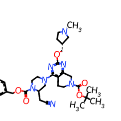 CN1CC[C@@H](COc2nc3c(c(N4CCN(C(=O)OCc5ccccc5)C(CC#N)C4)n2)CCN(C(=O)OC(C)(C)C)C3)C1